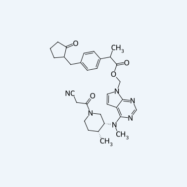 CC(C(=O)OCn1ccc2c(N(C)[C@H]3CN(C(=O)CC#N)CC[C@H]3C)ncnc21)c1ccc(CC2CCCC2=O)cc1